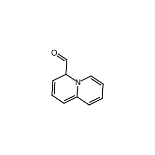 O=CC1C=CC=C2C=CC=CN21